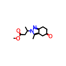 COC(=O)CC(C)n1nc2c(c1C)CC(=O)CC2